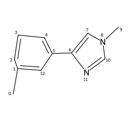 Cc1cccc(-c2cn(C)cn2)c1